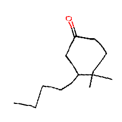 CCCCC1CC(=O)CCC1(C)C